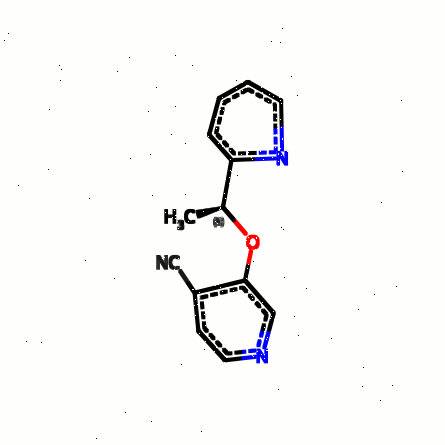 C[C@H](Oc1cnccc1C#N)c1ccccn1